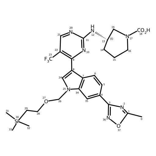 Cc1nc(-c2ccc3c(-c4nc(N[C@H]5CCCN(C(=O)O)C5)ncc4C(F)(F)F)cn(COCC[Si](C)(C)C)c3c2)no1